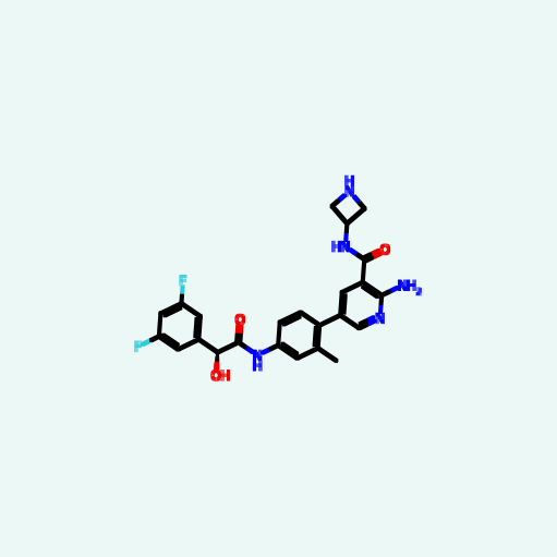 Cc1cc(NC(=O)[C@@H](O)c2cc(F)cc(F)c2)ccc1-c1cnc(N)c(C(=O)NC2CNC2)c1